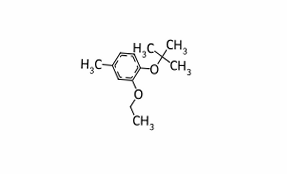 CCOc1cc(C)ccc1OC(C)(C)C